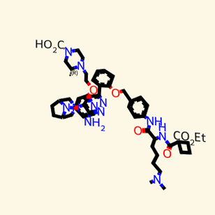 CCOC(=O)C1(C(=O)NC(CCCCN(C)C)C(=O)Nc2ccc(COc3ccccc3-c3cc(N4CC5CCC(C4)N5c4ccnc(OCCN5CCN(C(=O)O)C[C@H]5C)c4)c(N)nn3)cc2)CCC1